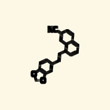 N#Cc1ccc2cccc(C=Cc3ccc4c(c3)OCO4)c2c1